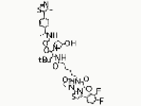 Cc1ncsc1-c1ccc([C@H](C)NC(=O)[C@@H]2C[C@@H](O)CN2C(=O)[C@@H](NC(=O)CCCCCNC(=O)COc2c(-c3csc(N4CCOCC4)n3)ccc(F)c2F)C(C)(C)C)cc1